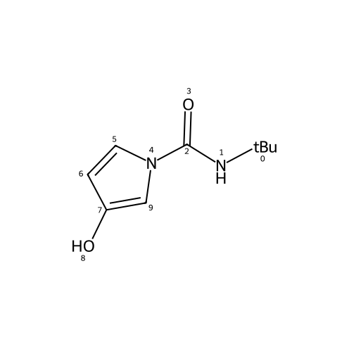 CC(C)(C)NC(=O)n1ccc(O)c1